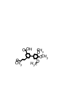 COCC=Cc1cc(C(=O)O)cc(-c2cc(OC)c(OC)c(OC)c2)c1